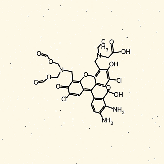 CCN(CC(=O)O)Cc1c(O)c(Cl)cc2c(-c3ccc(N)c(N)c3C(=O)O)c3cc(Cl)c(=O)c(CN(COC=O)COC=O)c-3oc12